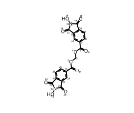 O=C(OCOC(=O)c1ccc2c(c1)C(=O)N(O)C2=O)c1ccc2c(c1)C(=O)N(O)C2=O